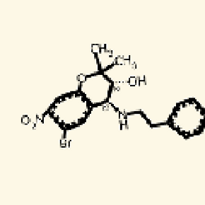 CC1(C)Oc2cc([N+](=O)[O-])c(Br)cc2[C@H](NCCc2ccccc2)[C@H]1O